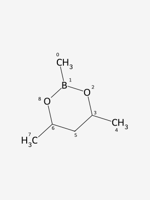 CB1OC(C)CC(C)O1